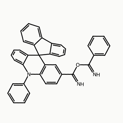 N=C(OC(=N)c1ccc2c(c1)C1(c3ccccc3-c3ccccc31)c1ccccc1N2c1ccccc1)c1ccccc1